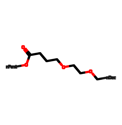 CCCCCCCCCCCOCCOCCCC(=O)OCCCCC